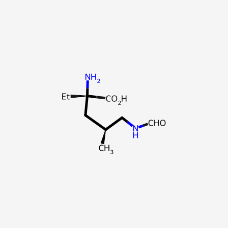 CC[C@](N)(C[C@H](C)CNC=O)C(=O)O